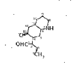 C=CC(C=O)C1CC2NCCCC2CC1=O